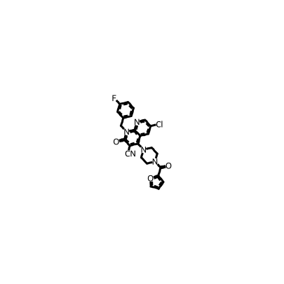 N#Cc1c(N2CCN(C(=O)c3ccco3)CC2)c2cc(Cl)cnc2n(Cc2cccc(F)c2)c1=O